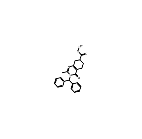 CCCOC(=O)N1CCc2c(nc(C)n(C(c3ccccc3)c3ccccc3)c2=O)C1